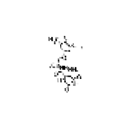 Cc1cc(OC[C@@H](C)NC(=O)c2[nH]c(=O)[nH]c(=O)c2N)cc(C)c1Cl